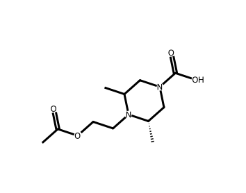 CC(=O)OCCN1C(C)CN(C(=O)O)C[C@@H]1C